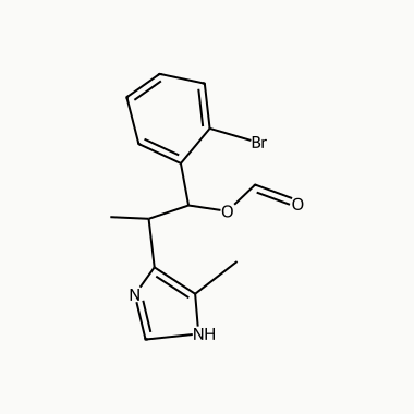 Cc1[nH]cnc1C(C)C(OC=O)c1ccccc1Br